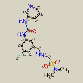 CN(C)S(=O)(=O)CNCc1cc(F)cc(NC(=O)Nc2cccnc2)c1